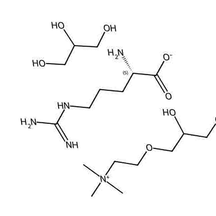 C[N+](C)(C)CCOCC(O)CO.N=C(N)NCCC[C@H](N)C(=O)[O-].OCC(O)CO